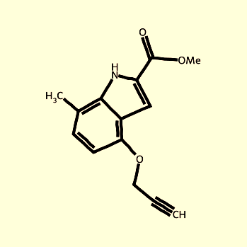 C#CCOc1ccc(C)c2[nH]c(C(=O)OC)cc12